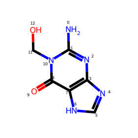 Nc1nc2nc[nH]c2c(=O)n1CO